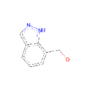 [O]Cc1cccc2cn[nH]c12